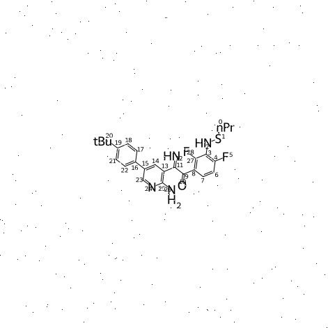 CCCSNc1c(F)ccc(C(=O)C(=N)c2cc(-c3ccc(C(C)(C)C)cc3)cnc2N)c1F